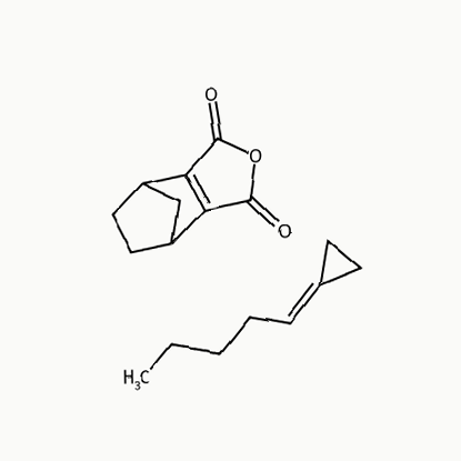 CCCCC=C1CC1.O=C1OC(=O)C2=C1C1CCC2C1